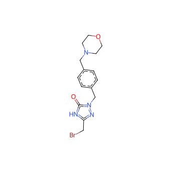 O=c1[nH]c(CBr)nn1Cc1ccc(CN2CCOCC2)cc1